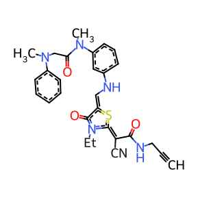 C#CCNC(=O)C(C#N)=c1sc(=CNc2cccc(N(C)C(=O)CN(C)c3ccccc3)c2)c(=O)n1CC